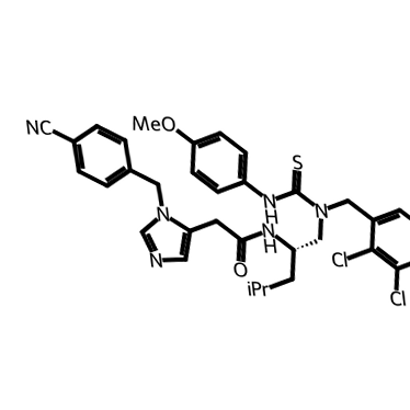 COc1ccc(NC(=S)N(Cc2cccc(Cl)c2Cl)C[C@H](CC(C)C)NC(=O)Cc2cncn2Cc2ccc(C#N)cc2)cc1